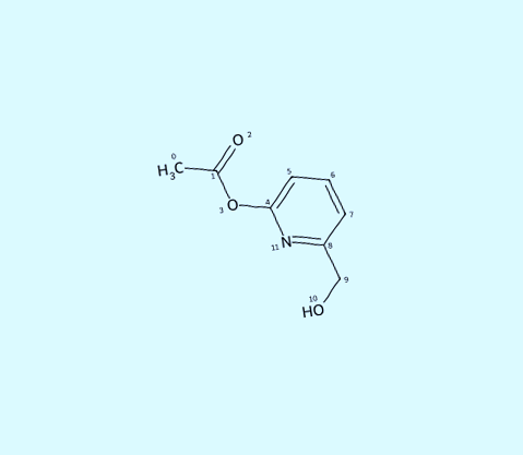 CC(=O)Oc1cccc(CO)n1